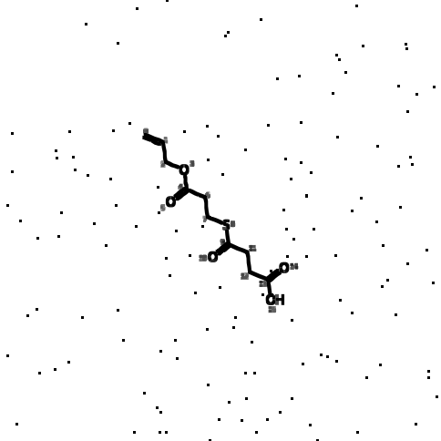 C=CCOC(=O)CCSC(=O)CCC(=O)O